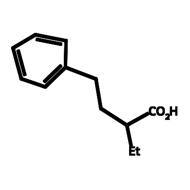 [CH2]CC(CCc1ccccc1)C(=O)O